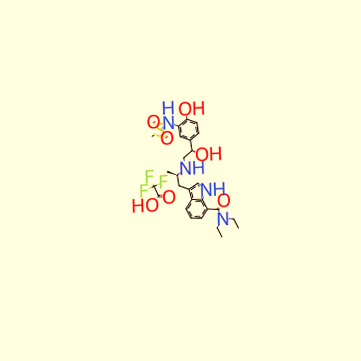 CCN(CC)C(=O)c1cccc2c(C[C@@H](C)NC[C@H](O)c3ccc(O)c(NS(C)(=O)=O)c3)c[nH]c12.O=C(O)C(F)(F)F